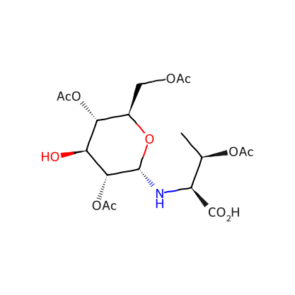 CC(=O)OC[C@H]1O[C@H](N[C@H](C(=O)O)[C@@H](C)OC(C)=O)[C@H](OC(C)=O)[C@@H](O)[C@@H]1OC(C)=O